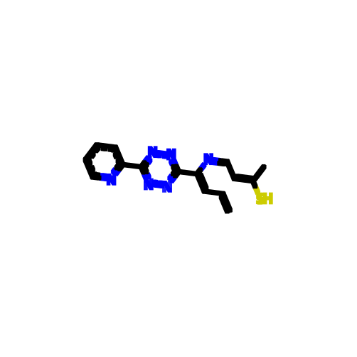 C=C\C=C(/N=C\C=C(/C)S)c1nnc(-c2ccccn2)nn1